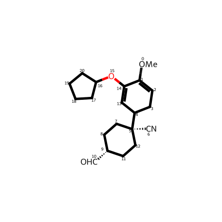 COC1=CCC([C@]2(C#N)CC[C@@H](C=O)CC2)C=C1OC1CCCC1